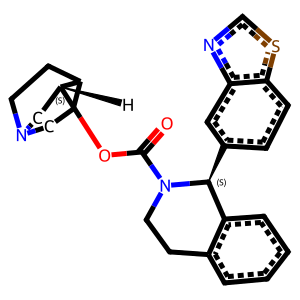 O=C(O[C@@H]1CN2CCC1CC2)N1CCc2ccccc2[C@@H]1c1ccc2scnc2c1